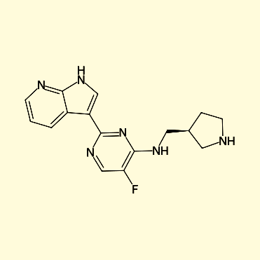 Fc1cnc(-c2c[nH]c3ncccc23)nc1NC[C@H]1CCNC1